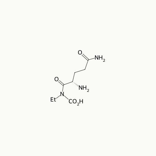 CCN(C(=O)O)C(=O)[C@@H](N)CCC(N)=O